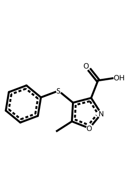 Cc1onc(C(=O)O)c1Sc1ccccc1